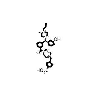 C=CCN1C[C@H](C)N([C@@H](c2cccc(O)c2)c2cccc(C(=O)N3CCCN(Cc4ccc(C(=O)O)cc4)CC3)c2)C[C@H]1C